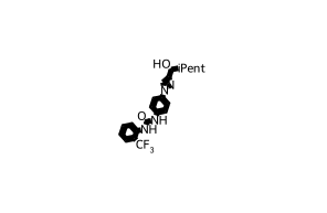 CCCC(C)C(O)c1c2n(-c3ccc(NC(=O)Nc4ccccc4C(F)(F)F)cc3)n1-2